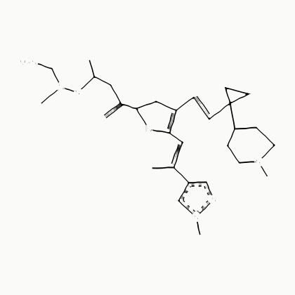 CCN1CCC(C2(/C=C/C3=C(/C=C(\C)c4cnn(C)c4)NC(C(=O)CC(C)NN(C)CNC)C3)CC2)CC1